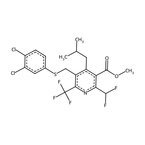 COC(=O)c1c(C(F)F)nc(C(F)(F)F)c(CSc2ccc(Cl)c(Cl)c2)c1CC(C)C